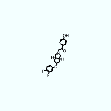 O=C(CN1C[C@H]2C[C@@H](Oc3ccc(F)c(F)c3)C[C@H]2C1)c1ccc(O)cn1